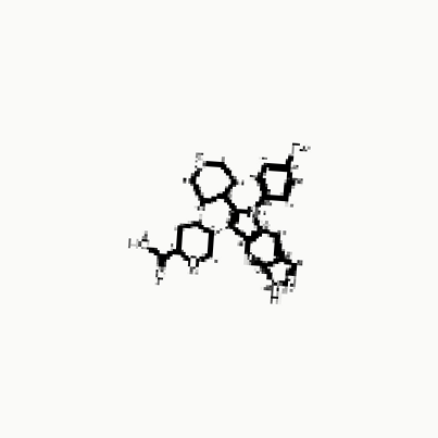 O=C(O)C1CC[C@H](c2c(C3CCOCC3)n(-c3ccc(F)cc3)c3cc4cn[nH]c4nc23)CO1